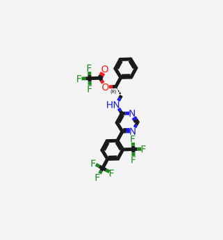 O=C(O[C@@H](CNc1cc(-c2ccc(C(F)(F)F)cc2C(F)(F)F)ncn1)c1ccccc1)C(F)(F)F